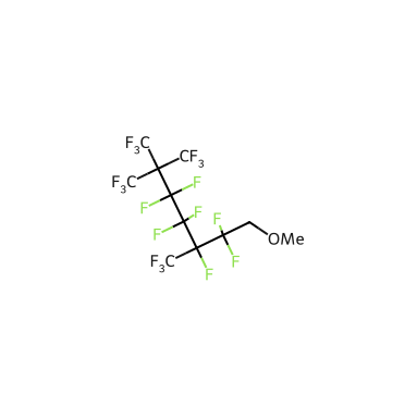 COCC(F)(F)C(F)(C(F)(F)F)C(F)(F)C(F)(F)C(C(F)(F)F)(C(F)(F)F)C(F)(F)F